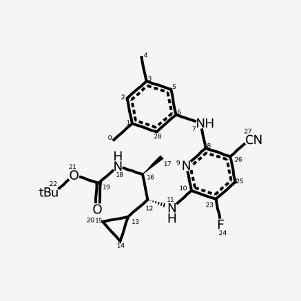 Cc1cc(C)cc(Nc2nc(N[C@H](C3CC3)[C@H](C)NC(=O)OC(C)(C)C)c(F)cc2C#N)c1